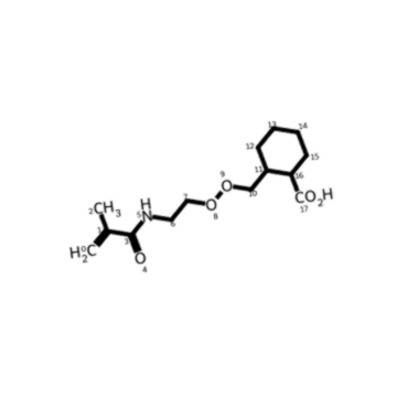 C=C(C)C(=O)NCCOOCC1CCCCC1C(=O)O